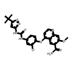 COc1cc2nccc(Oc3ccc(NC(=O)Nc4cc(C(C)(C)C)on4)cc3Cl)c2cc1C(N)=O